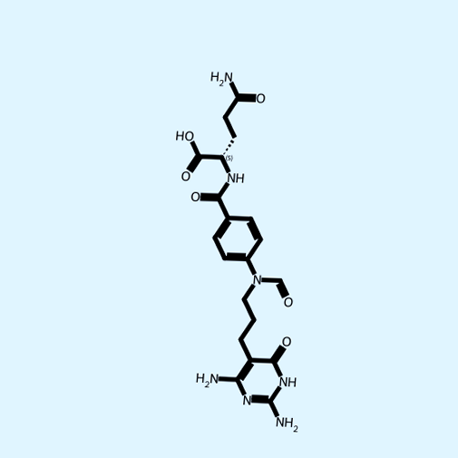 NC(=O)CC[C@H](NC(=O)c1ccc(N(C=O)CCCc2c(N)nc(N)[nH]c2=O)cc1)C(=O)O